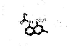 Cc1cc(C(=O)O)c2c(NC(=O)C(C)C)cccc2c1